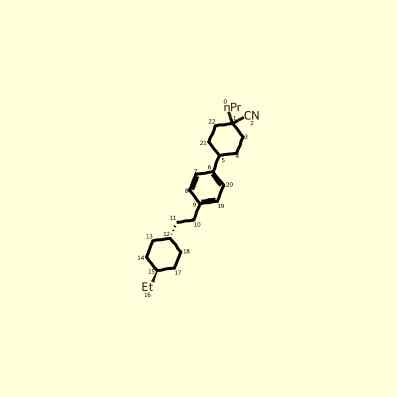 CCCC1(C#N)CCC(c2ccc(CC[C@H]3CC[C@H](CC)CC3)cc2)CC1